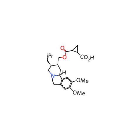 COc1cc2c(cc1OC)[C@H]1C[C@@H](COC(=O)C3CC3C(=O)O)[C@H](CC(C)C)CN1CC2